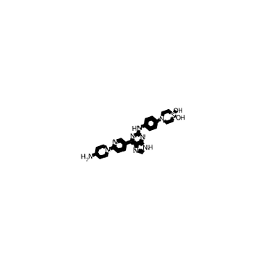 NC1CCN(c2ccc(-c3nc(Nc4ccc(N5CCS(O)(O)CC5)cc4)nc4[nH]cnc34)cn2)CC1